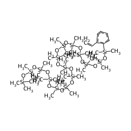 C=Cc1ccccc1[Si](C)(C)O[Si](C)(C)O[Si](C)(C)O[Si](C)(C)O[Si](C)(C)O[Si](C)(C)O[Si](C)(C)O[Si](C)(C)O[Si](C)(C)O[Si](C)(C)O[Si](C)(C)O[Si](C)(C)O[Si](C)(C)O[Si](C)(C)O[Si](C)(C)C